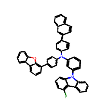 Fc1cccc2c1c1ccccc1n2-c1cccc(N(c2ccc(-c3ccc4ccccc4c3)cc2)c2ccc(-c3cccc4c3oc3ccccc34)cc2)c1